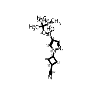 CC1(C)OB(c2cnn(C3CC(C#N)C3)c2)O[PH]1(C)C